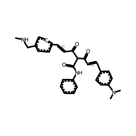 CNCc1ccc(/C=C/C(=O)C(C(=O)/C=C/c2ccc(N(C)C)cc2)C(=O)Nc2ccccc2)cc1